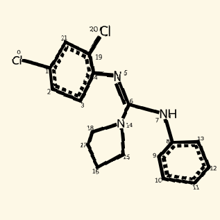 Clc1ccc(N=C(Nc2ccccc2)N2CCCC2)c(Cl)c1